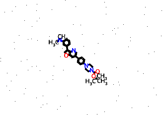 CN(C)c1cccc(-c2coc3cc(-c4ccc(N5CCN(C(=O)OC(C)(C)C)CC5)cc4)cnc23)c1